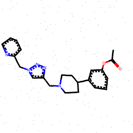 CC(=O)Oc1cccc(C2CCN(Cc3cn(Cc4ccccn4)nn3)CC2)c1